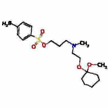 Bc1ccc(S(=O)(=O)OCCCN(C)CCOC2(OC)CCCCC2)cc1